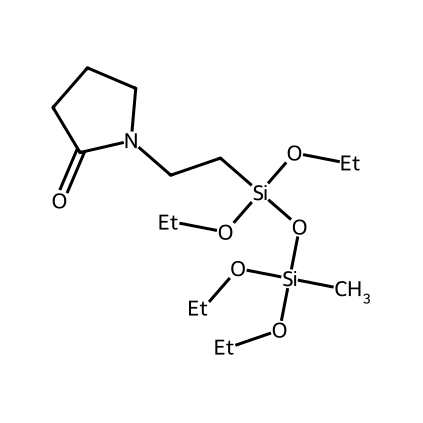 CCO[Si](C)(OCC)O[Si](CCN1CCCC1=O)(OCC)OCC